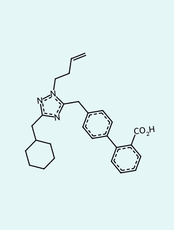 C=CCCn1nc(CC2CCCCC2)nc1Cc1ccc(-c2ccccc2C(=O)O)cc1